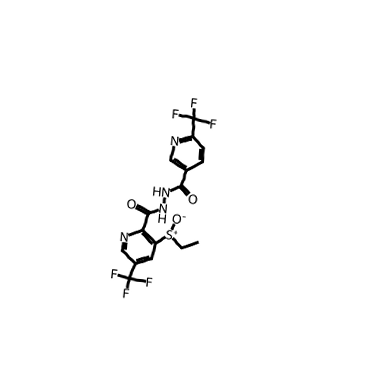 CC[S+]([O-])c1cc(C(F)(F)F)cnc1C(=O)NNC(=O)c1ccc(C(F)(F)F)nc1